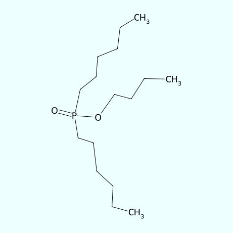 CCCCCCP(=O)(CCCCCC)OCCCC